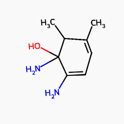 CC1=CC=C(N)C(N)(O)C1C